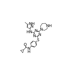 Cc1cc(Nc2nc(Sc3ccc(NC(=O)C4CC4)cc3)nc(N3CCCNCC3)n2)n[nH]1